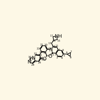 O=c1c2ccc(C3CC3)cc2cc(CC2CNC2)n1-c1cccc(-c2ccc3cncn3c2)c1CO